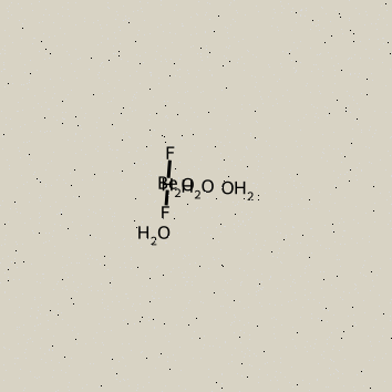 O.O.O.O.[F][Be][F]